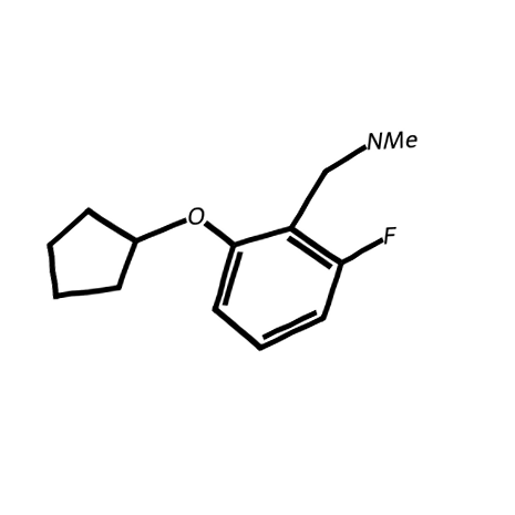 CNCc1c(F)cccc1OC1CCCC1